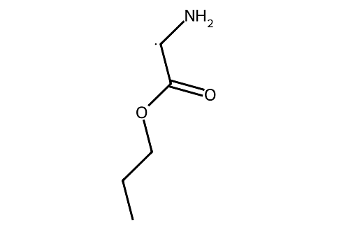 CCCOC(=O)[CH]N